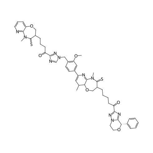 COc1cc(C2=CC(C)C3OCC(CCCCC(=O)c4nc5n(n4)CCO[C@H]5c4ccccc4)C(=S)N(C)C3=N2)ccc1Cn1cnc(C(=O)CCCC2COc3cccnc3N(C)C2=S)n1